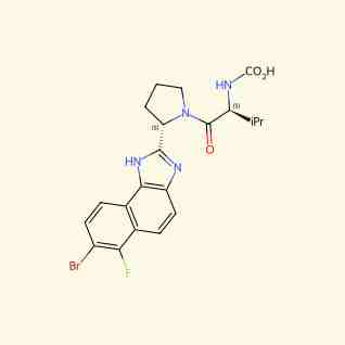 CC(C)[C@H](NC(=O)O)C(=O)N1CCC[C@H]1c1nc2ccc3c(F)c(Br)ccc3c2[nH]1